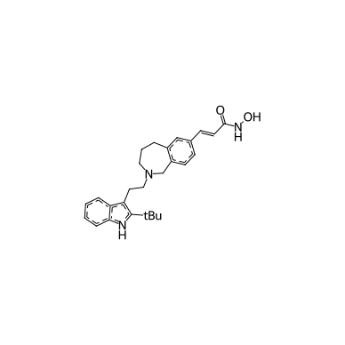 CC(C)(C)c1[nH]c2ccccc2c1CCN1CCCc2cc(/C=C/C(=O)NO)ccc2C1